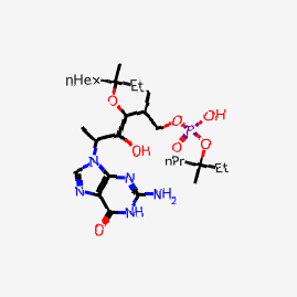 CCCCCCC(C)(CC)OC(C(C)COP(=O)(O)OC(C)(CC)CCC)C(O)C(C)n1cnc2c(=O)[nH]c(N)nc21